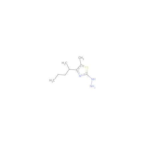 CCCC(C)c1nc(NN)sc1C